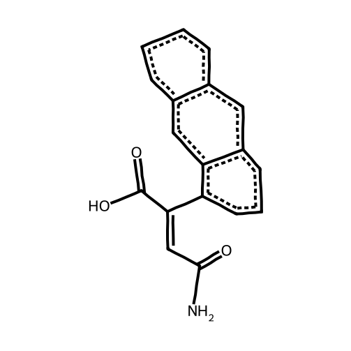 NC(=O)/C=C(/C(=O)O)c1cccc2cc3ccccc3cc12